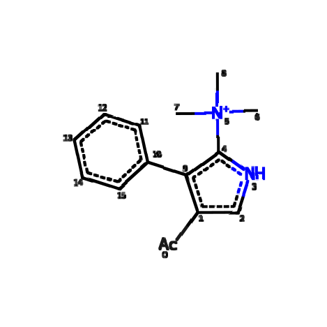 CC(=O)c1c[nH]c([N+](C)(C)C)c1-c1ccccc1